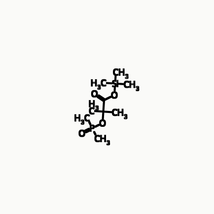 CC(C)(OP(C)(C)=O)C(=O)O[Si](C)(C)C